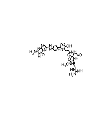 CNC(=O)C(CCCNC(=N)N)NC(=O)C(CC=O)NC(=O)CCC(NC(=O)c1ccc(NCc2cnc3nc(N)[nH]c(=O)c3n2)cc1)C(=O)O